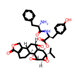 CC(C)[C@]12O[C@H]1[C@@H]1O[C@]13[C@]1(O[C@H]1C[C@H]1C4=C(CC[C@@]13C)C(=O)OC4)[C@@H]2OC(=O)[C@H](Cc1ccc(O)cc1)NC(=O)[C@@H](N)Cc1ccccc1